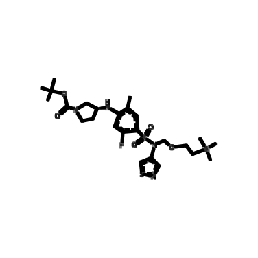 Cc1cc(S(=O)(=O)N(COCC[Si](C)(C)C)c2cnsc2)c(F)cc1N[C@H]1CCN(C(=O)OC(C)(C)C)C1